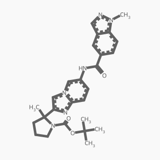 Cn1ncc2cc(C(=O)Nc3ccc4nc(C5(C)CCCN5C(=O)OC(C)(C)C)cn4c3)ccc21